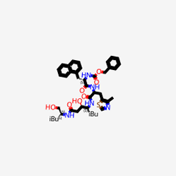 CCC(C)[C@H](NC(=O)C(Cc1scnc1C)NC(=O)[C@H](Cc1cccc2ccccc12)NC(=O)OCc1ccccc1)[C@@H](O)CC(=O)N[C@H](CO)[C@@H](C)CC